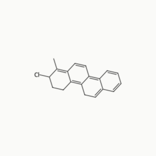 CC1=c2ccc3c(c2CCC1Cl)CC=c1ccccc1=3